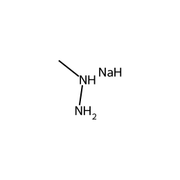 CNN.[NaH]